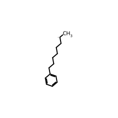 C[CH]CCCCCCc1ccccc1